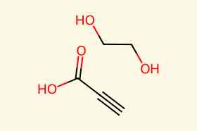 C#CC(=O)O.OCCO